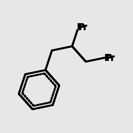 [CH2]C(C)C(Cc1ccccc1)CC(C)C